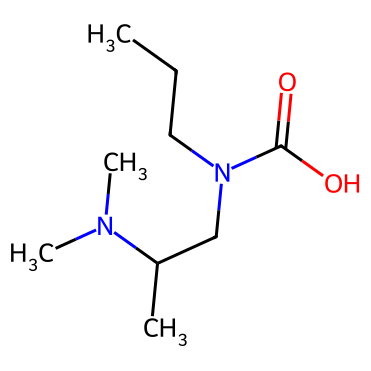 CCCN(CC(C)N(C)C)C(=O)O